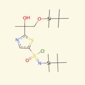 CC(O)(CO[Si](C)(C)C(C)(C)C)c1ncc(S(=O)(Cl)=N[Si](C)(C)C(C)(C)C)s1